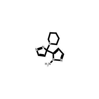 Nn1nccc1C1(N2CCCCC2)C=CN=N1